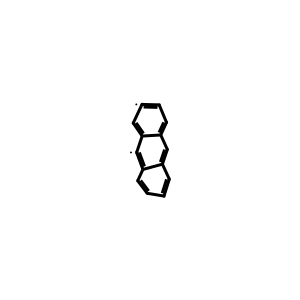 [c]1ccc2cc3ccccc3[c]c2c1